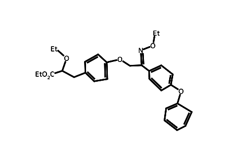 CCON=C(COc1ccc(CC(OCC)C(=O)OCC)cc1)c1ccc(Oc2ccccc2)cc1